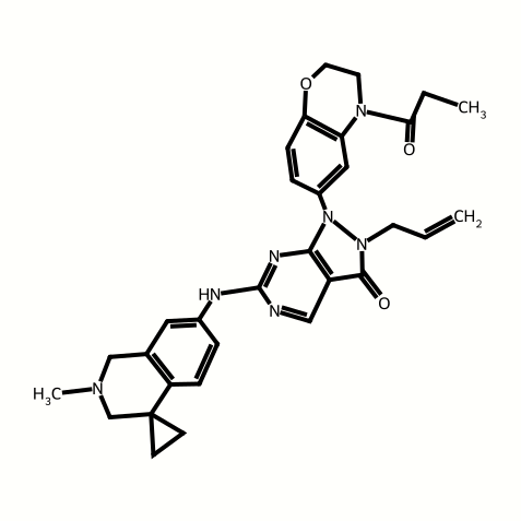 C=CCn1c(=O)c2cnc(Nc3ccc4c(c3)CN(C)CC43CC3)nc2n1-c1ccc2c(c1)N(C(=O)CC)CCO2